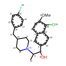 COc1ccc2cc(C(O)C(C)N3CCC(Cc4ccc(F)cc4)CC3)ccc2c1Cl